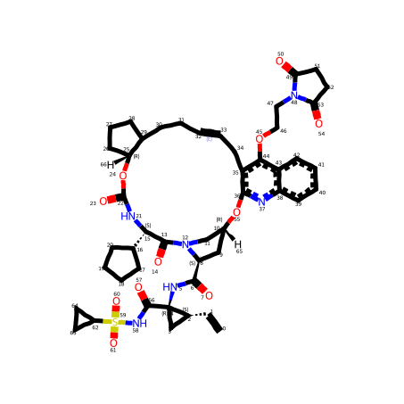 C=C[C@@H]1C[C@]1(NC(=O)[C@@H]1C[C@@H]2CN1C(=O)[C@H](C1CCCC1)NC(=O)O[C@@H]1CCCC1CC/C=C/Cc1c(nc3ccccc3c1OCCN1C(=O)CCC1=O)O2)C(=O)NS(=O)(=O)C1CC1